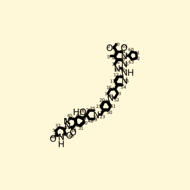 CC(=O)c1c(C)c2cnc(Nc3ccc(C4CCN(c5ccc(CN6CCC(O)(c7ccc8c(=O)n(C9CCC(=O)NC9=O)ncc8c7)CC6)cc5)CC4)cn3)nc2n(C2CCCC2)c1=O